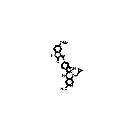 COc1ccc2c(c1)[C@]1(C[C@H]1c1ccc3c(Nc4cc(C)ncc4OCC4CC4)n[nH]c3c1)C(=O)N2